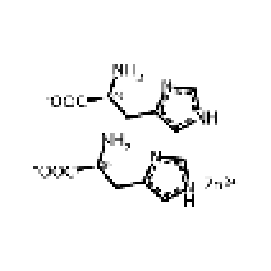 N[C@@H](Cc1c[nH]cn1)C(=O)[O-].N[C@@H](Cc1c[nH]cn1)C(=O)[O-].[Zn+2]